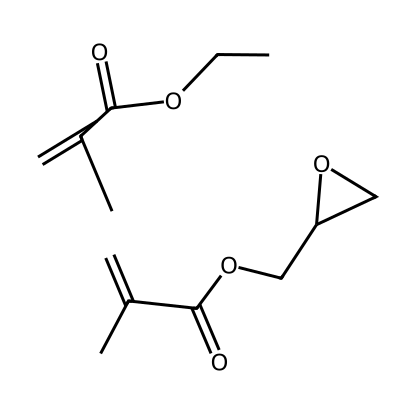 C=C(C)C(=O)OCC.C=C(C)C(=O)OCC1CO1